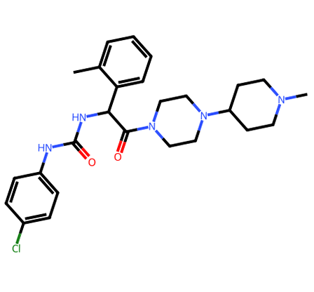 Cc1ccccc1C(NC(=O)Nc1ccc(Cl)cc1)C(=O)N1CCN(C2CCN(C)CC2)CC1